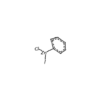 [Cl][Zn]([I])[c]1ccccc1